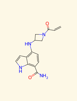 C=CC(=O)N1CC(Nc2ccc(C(N)=O)c3[nH]ccc23)C1